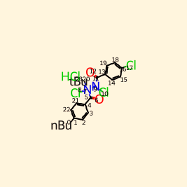 CCCCc1ccc(C(=O)[N+](Cl)(N(Cl)C(=O)c2ccc(Cl)cc2)C(C)(C)C)cc1.Cl